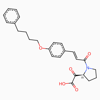 O=C(O)C(=O)[C@@H]1CCCN1C(=O)C=Cc1ccc(OCCCCc2ccccc2)cc1